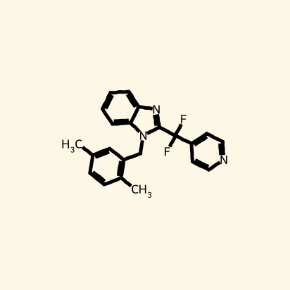 Cc1ccc(C)c(Cn2c(C(F)(F)c3ccncc3)nc3ccccc32)c1